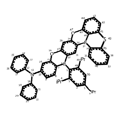 CC(C)c1cc(C(C)C)c(B2c3ccc(N(c4ccccc4)c4ccccc4)cc3Oc3cc4c(cc32)B2c3ccccc3Sc3cccc(c32)O4)c(C(C)C)c1